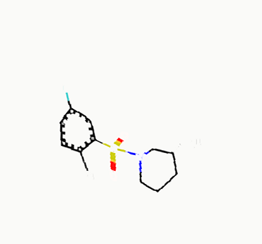 O=C(O)[C@@H]1CCCN(S(=O)(=O)c2cc(F)ccc2C(F)(F)F)C1